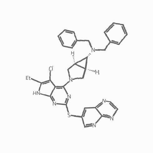 CCc1[nH]c2nc(Sc3cnc4nccnc4c3)nc(N3C[C@@H]4[C@H](C3)[C@H]4N(Cc3ccccc3)Cc3ccccc3)c2c1Cl